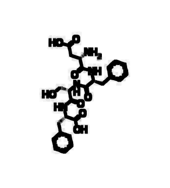 N[C@@H](CC(=O)O)C(=O)N[C@@H](Cc1ccccc1)C(=O)N[C@@H](CO)C(=O)N[C@@H](Cc1ccccc1)C(=O)O